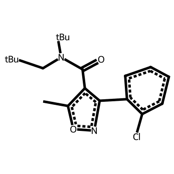 Cc1onc(-c2ccccc2Cl)c1C(=O)N(CC(C)(C)C)C(C)(C)C